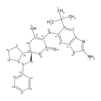 CC(C)(C)c1cc2nc(N)sc2cc1SC1=C(O)C[C@@](CCc2ccccc2)(C2CCCC2)OC1=O